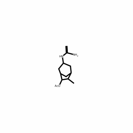 C=C(N)NC1CC2CC(C1)C(OC(C)=O)C2C